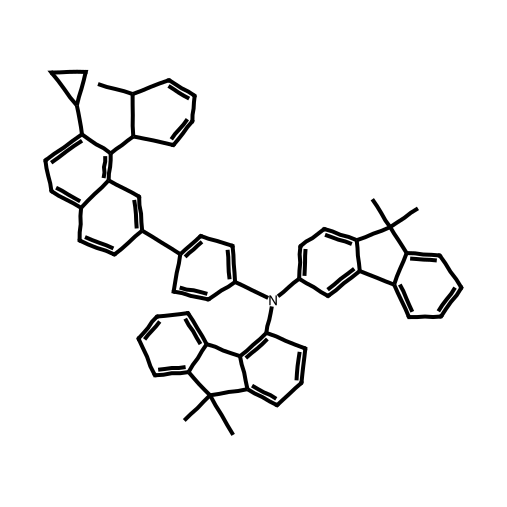 CC1C=CC=CC1c1c(C2CC2)ccc2ccc(-c3ccc(N(c4ccc5c(c4)-c4ccccc4C5(C)C)c4cccc5c4-c4ccccc4C5(C)C)cc3)cc12